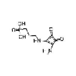 Nc1c(NCCCP(=O)(O)O)c(=O)c1=O